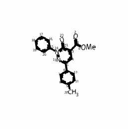 COC(=O)c1cc(-c2ccc(C)cc2)nn(-c2ccccc2)c1=O